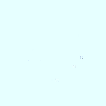 Cn1nc(I)cc1C(O)C1CC1